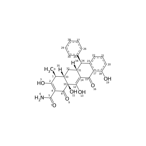 C[C@@H]1C(O)=C(C(N)=O)C(=O)[C@@]2(O)C(O)=C3C(=O)c4c(O)cccc4[C@H](c4ccccc4)[C@H]3C[C@@H]12